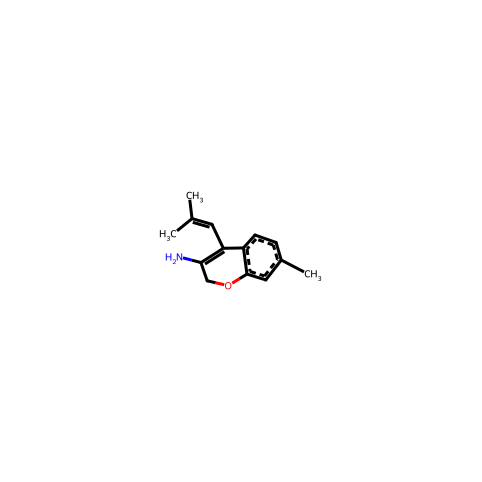 CC(C)=CC1=C(N)COc2cc(C)ccc21